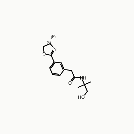 CC(C)[C@H]1COC(c2cccc(CC(=O)NC(C)(C)CO)c2)=N1